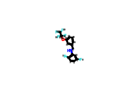 Fc1ccc(F)c(NCc2cccc(OC(F)(F)C(F)F)c2)c1